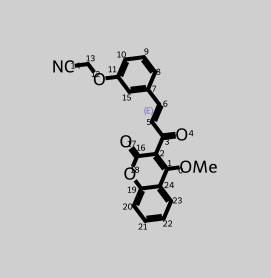 COc1c(C(=O)/C=C/c2cccc(OCC#N)c2)c(=O)oc2ccccc12